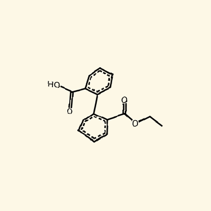 CCOC(=O)c1ccccc1-c1ccccc1C(=O)O